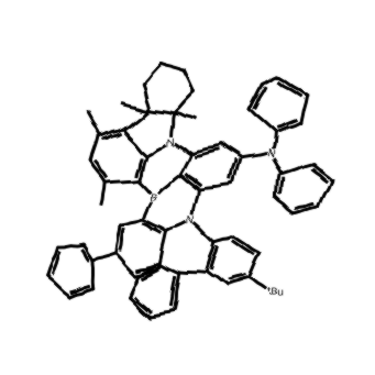 Cc1cc(C)c2c3c1B1c4cc(-c5ccccc5)ccc4N(c4ccc(C(C)(C)C)cc4-c4ccccc4)c4cc(N(c5ccccc5)c5ccccc5)cc(c41)N3C1(C)CCCCC21C